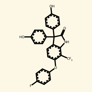 O=C1Nc2c(ccc(Oc3ccc(F)cc3)c2C(F)(F)F)C1(c1ccc(O)cc1)c1ccc(O)cc1